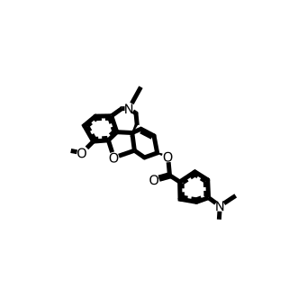 COc1ccc2c3c1OC1C[C@@H](OC(=O)c4ccc(N(C)C)cc4)C=C[C@@]31CCN(C)C2